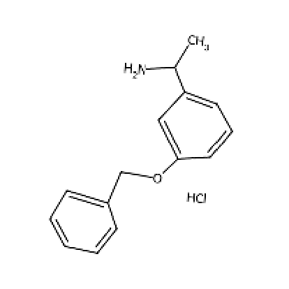 CC(N)c1cccc(OCc2ccccc2)c1.Cl